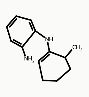 CC1CCCC=C1Nc1ccccc1N